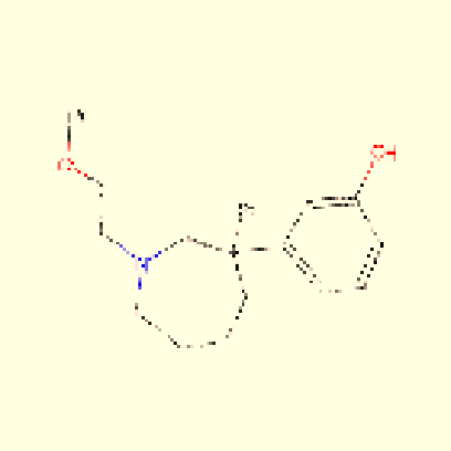 CCC1(c2cccc(O)c2)CCCCN(CCOC(C)C)C1